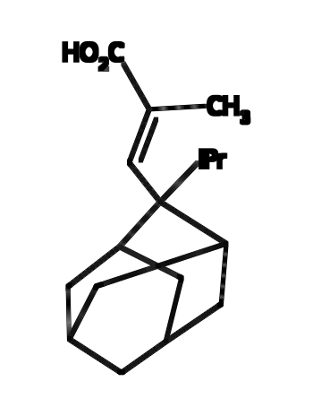 C/C(=C\C1(C(C)C)C2CC3CC(C2)CC1C3)C(=O)O